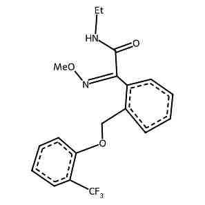 CCNC(=O)C(=NOC)c1ccccc1COc1ccccc1C(F)(F)F